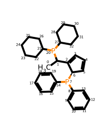 CC(C1=CC=C[C@H]1P(c1ccccc1)c1ccccc1)P(C1CCCCC1)C1CCCCC1